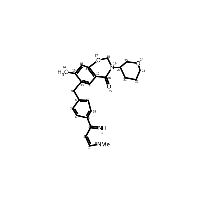 CN/C=C\C(=N)c1ccc(Cc2cc3c(cc2C)OCN(C2CCCOC2)C3=O)cc1